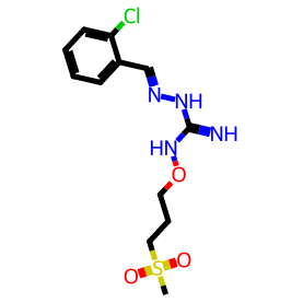 CS(=O)(=O)CCCONC(=N)NN=Cc1ccccc1Cl